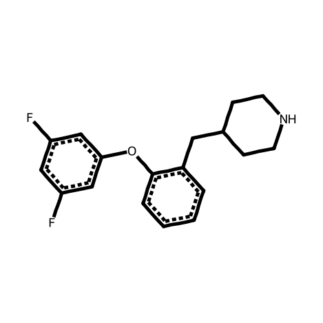 Fc1cc(F)cc(Oc2ccccc2CC2CCNCC2)c1